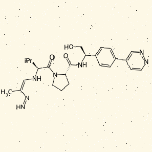 C/C(=C/N[C@H](C(=O)N1CCC[C@H]1C(=O)N[C@@H](CO)c1ccc(-c2ccnnc2)cc1)C(C)C)N=N